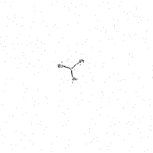 CCC(C)P(C(C)C)C(C)CC